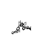 COCCN[C@H]1CC[C@H](Nc2cc(-c3cccc(NCC4CC4)c3)c(Cl)cn2)CC1